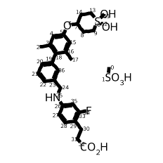 CS(=O)(=O)O.Cc1cc(OC2CCS(O)(O)CC2)cc(C)c1-c1cccc(CNc2ccc(CCC(=O)O)c(F)c2)c1